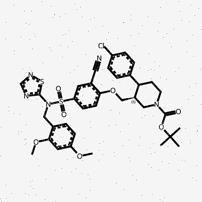 COc1ccc(CN(c2ncns2)S(=O)(=O)c2ccc(OC[C@@H]3CN(C(=O)OC(C)(C)C)CCC3c3ccc(Cl)cc3)c(C#N)c2)c(OC)c1